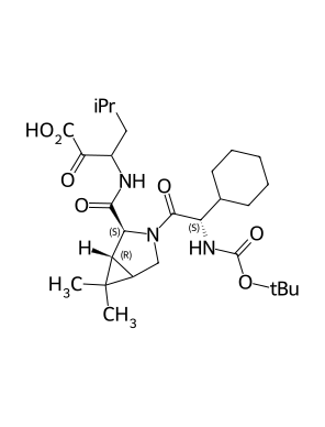 CC(C)CC(NC(=O)[C@@H]1[C@@H]2C(CN1C(=O)[C@@H](NC(=O)OC(C)(C)C)C1CCCCC1)C2(C)C)C(=O)C(=O)O